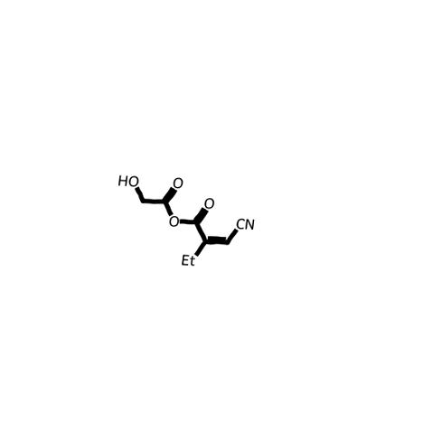 CCC(=CC#N)C(=O)OC(=O)CO